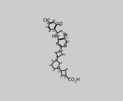 CC(Nc1nc(N2CC(C3CCCN(C4CC(C(=O)O)C4)C3)C2)ncc1Br)c1ccc(Cl)cc1Cl